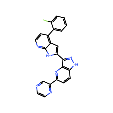 Fc1ccccc1-c1ccnc2[nH]c(-c3n[nH]c4ccc(-c5cnccn5)nc34)cc12